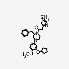 COc1ccc(N2CCN(C(=O)Cc3cn(C)cn3)C(Cc3ccccc3)C2)cc1OC1CCCC1